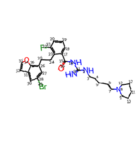 N=C(NCCCCCN1CCCCC1)NC(=O)c1cccc(F)c1CCc1cc(Br)cc2ccoc12